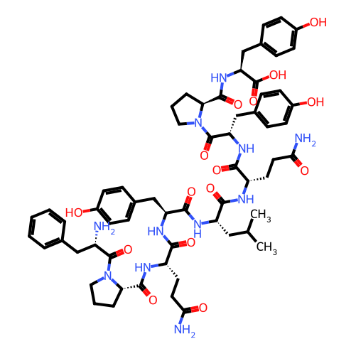 CC(C)C[C@H](NC(=O)[C@H](Cc1ccc(O)cc1)NC(=O)[C@H](CCC(N)=O)NC(=O)[C@@H]1CCCN1C(=O)[C@@H](N)Cc1ccccc1)C(=O)N[C@@H](CCC(N)=O)C(=O)N[C@@H](Cc1ccc(O)cc1)C(=O)N1CCC[C@H]1C(=O)N[C@@H](Cc1ccc(O)cc1)C(=O)O